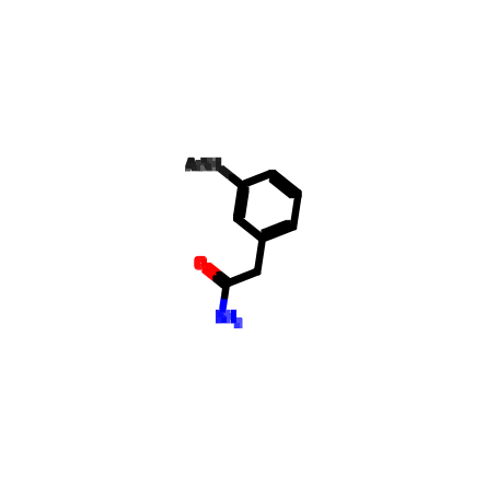 CC(=O)Nc1cccc(CC(N)=O)c1